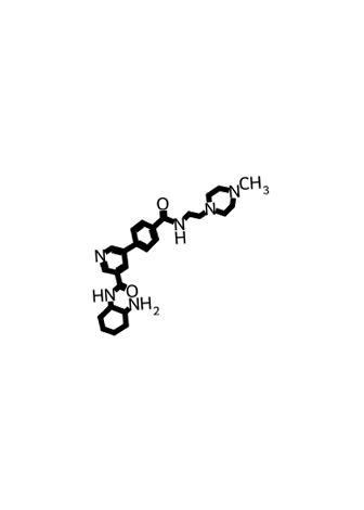 CN1CCN(CCNC(=O)c2ccc(-c3cncc(C(=O)NC4CCCCC4N)c3)cc2)CC1